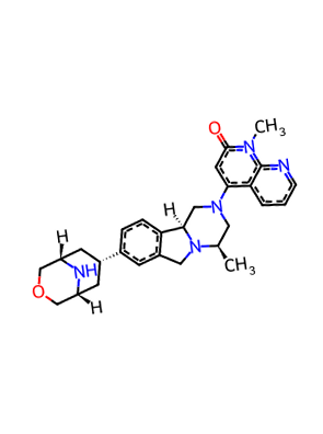 C[C@@H]1CN(c2cc(=O)n(C)c3ncccc23)C[C@@H]2c3ccc([C@H]4C[C@H]5COC[C@@H](C4)N5)cc3CN12